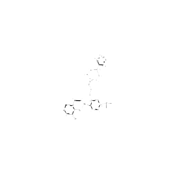 FC(F)(F)c1ccc(C2C=Cc3cccc(Cl)c3O2)c(OCCN2CCC(c3nnn[nH]3)CC2)c1